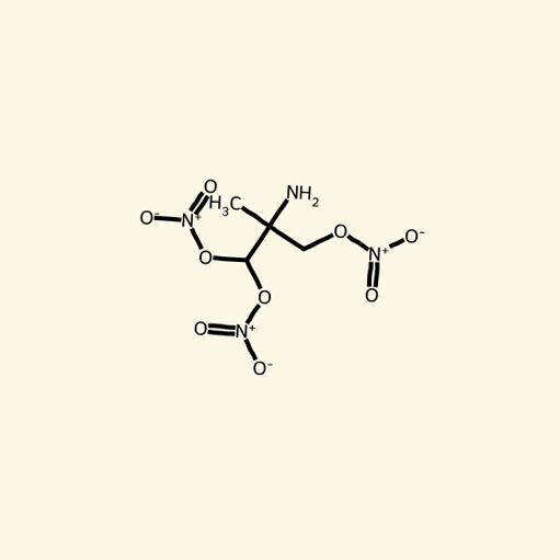 CC(N)(CO[N+](=O)[O-])C(O[N+](=O)[O-])O[N+](=O)[O-]